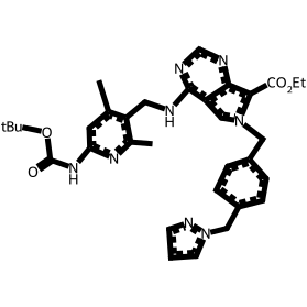 CCOC(=O)c1c2ncnc(NCc3c(C)cc(NC(=O)OC(C)(C)C)nc3C)c2cn1Cc1ccc(Cn2cccn2)cc1